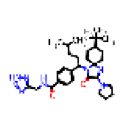 CC(C)CC[C@H](c1ccc(C(=O)NCc2nn[nH]n2)cc1)N1C(=O)C(N2CCCC2)=NC12CCC(C(C)(C)C)CC2